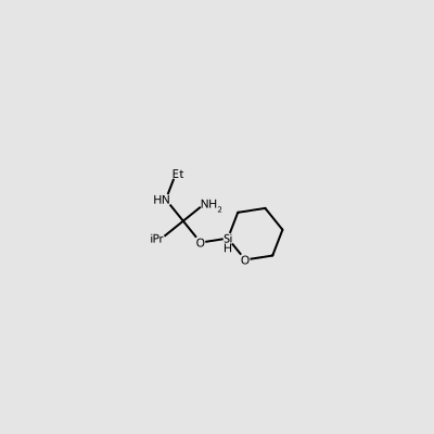 CCNC(N)(O[SiH]1CCCCO1)C(C)C